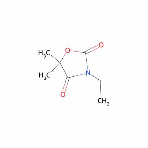 CCN1C(=O)OC(C)(C)C1=O